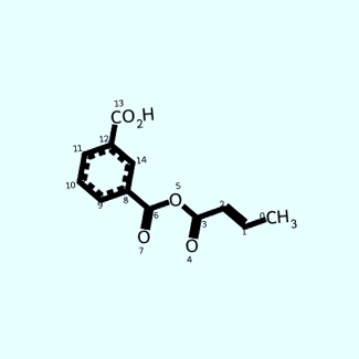 CC=CC(=O)OC(=O)c1cccc(C(=O)O)c1